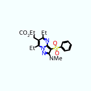 CCOC(=O)Cc1c(CC)nc2c(S(=O)(=O)c3ccccc3)c(NC)nn2c1CC